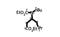 CCCCN(C(=O)OCC)C(CC(=O)OCC)CC(C)C